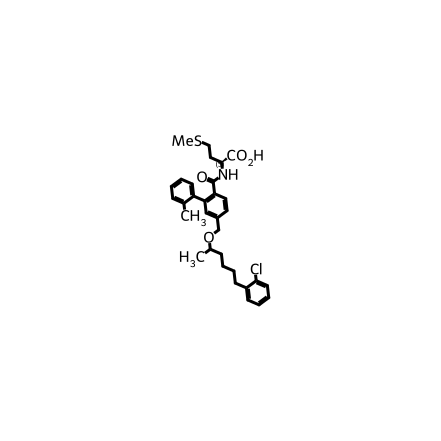 CSCC[C@H](NC(=O)c1ccc(COC(C)CCCCc2ccccc2Cl)cc1-c1ccccc1C)C(=O)O